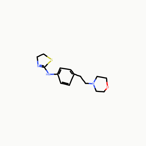 c1cc(NC2=NCCS2)ccc1CCN1CCOCC1